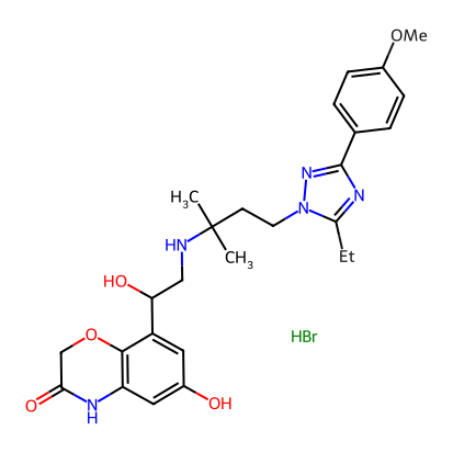 Br.CCc1nc(-c2ccc(OC)cc2)nn1CCC(C)(C)NCC(O)c1cc(O)cc2c1OCC(=O)N2